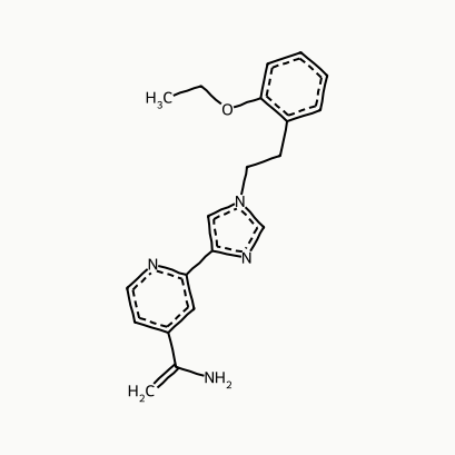 C=C(N)c1ccnc(-c2cn(CCc3ccccc3OCC)cn2)c1